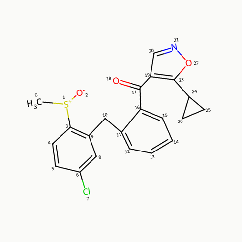 C[S+]([O-])c1ccc(Cl)cc1Cc1ccccc1C(=O)c1cnoc1C1CC1